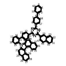 c1ccc(-c2ccc(-c3nc(-c4ccc(-c5ccccc5-n5c6ccc7ccccc7c6c6c7ccccc7ccc65)cc4)nc(-c4ccc5ccccc5c4)n3)cc2)cc1